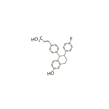 O=C(O)/C=C/c1ccc(C2c3ccc(O)cc3CCC2c2ccc(F)cc2)cc1